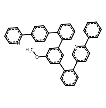 COc1cc(-c2ccccc2-c2ccc(-c3ccccn3)cc2)cc(-c2ccccc2-c2ccc(-c3ccccc3)nc2)c1